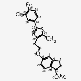 CC(=O)OC1CCc2cc(OCCc3nc(-c4ccc(F)c(Cl)c4)sc3C)ccc21